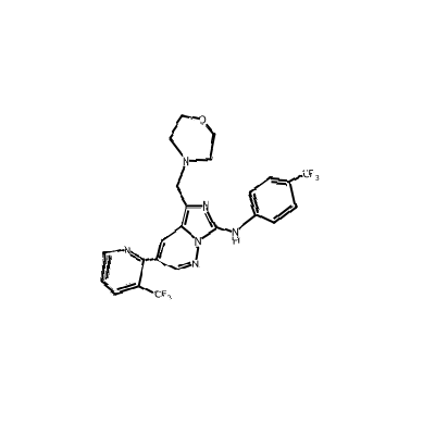 FC(F)(F)c1ccc(Nc2nc(CN3CCOCC3)c3cc(-c4ncccc4C(F)(F)F)cnn23)cc1